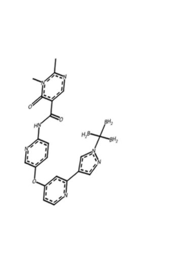 BC(B)(B)n1cc(-c2cc(Oc3ccc(NC(=O)c4cnc(C)n(C)c4=O)nc3)ccn2)cn1